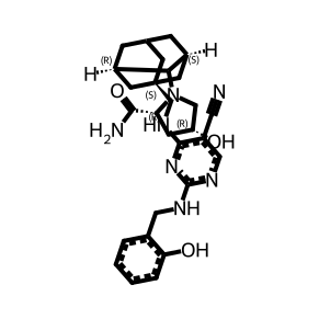 N#Cc1cnc(NCc2ccccc2O)nc1NC[C@]12CC3C[C@H](C1)C(N1C[C@H](O)C[C@@H]1C(N)=O)[C@@H](C3)C2